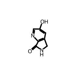 O=C1NCc2cc(O)cnc21